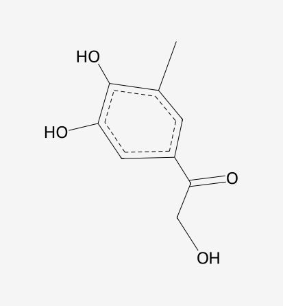 Cc1cc(C(=O)CO)cc(O)c1O